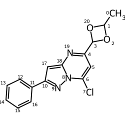 CC1OC(c2cc(Cl)n3nc(-c4ccccc4)cc3n2)O1